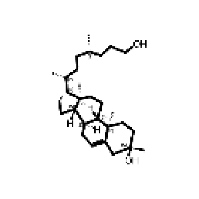 C[C@H](CCCO)CC[C@@H](C)[C@H]1CC[C@H]2[C@@H]3CC=C4C[C@@](C)(O)CC[C@]4(C)[C@H]3CC[C@]12C